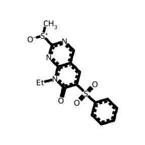 CCn1c(=O)c(S(=O)(=O)c2ccccc2)cc2cnc([S+](C)[O-])nc21